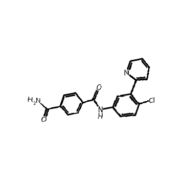 NC(=O)c1ccc(C(=O)Nc2ccc(Cl)c(-c3ccccn3)c2)cc1